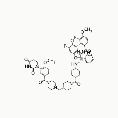 COc1ccc(C(=O)N2CCN(CC3CCN(C(=O)C4CCC(NC[C@]5(c6ccccc6)Oc6cc(F)c(Cl)c(-c7c(C(N)=O)ccc(OC)c7F)c6[C@@H]5C)CC4)CC3)CC2)cc1N1CCC(=O)NC1=O